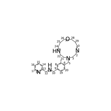 C1=N\CCN(Cc2ccc(CNCc3ccccn3)cc2)CCNCCCOCC/1